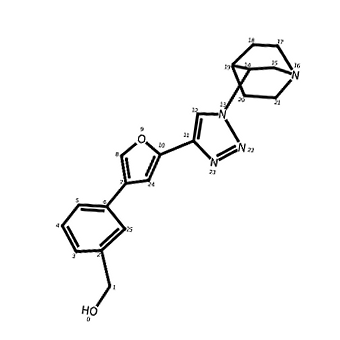 OCc1cccc(-c2coc(-c3cn(C4CN5CCC4CC5)nn3)c2)c1